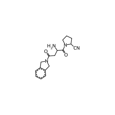 N#CC1CCCN1C(=O)C(N)CC(=O)N1Cc2ccccc2C1